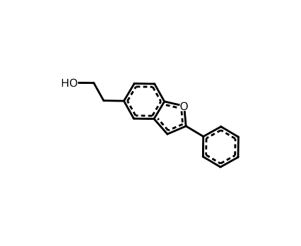 OCCc1ccc2oc(-c3ccccc3)cc2c1